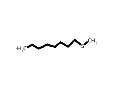 [CH2]CCCCCCCSC